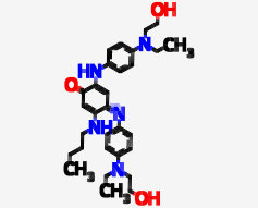 CCCCNC1=CC(=O)C(Nc2ccc(N(CC)CCO)cc2)=C/C1=N/c1ccc(N(CC)CCO)cc1